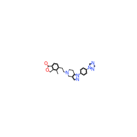 Cc1c(CCN2CCc3c(cnn3-c3ccc(-n4cncn4)cc3)C2)ccc2c1COC2=O